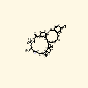 O=C1NS(=O)(=O)C[C@@H](O)/C=C/C[C@H](O)[C@@H]2CC[C@H]2CN2CCCCc3cc(Cl)ccc3COc3ccc1cc32